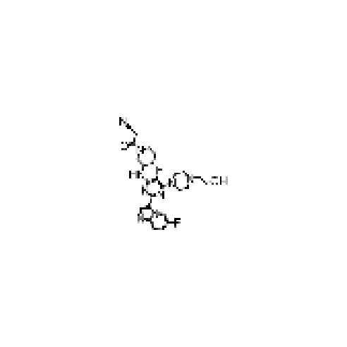 N#CCC(=O)N1CCCC(Nc2nc(-c3cnc4ccc(F)cn34)nc(N3CCN(CCO)CC3)c2F)C1